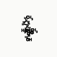 CCc1ccc(C(CC)CC(C)(C)C(=O)OCCO)cc1